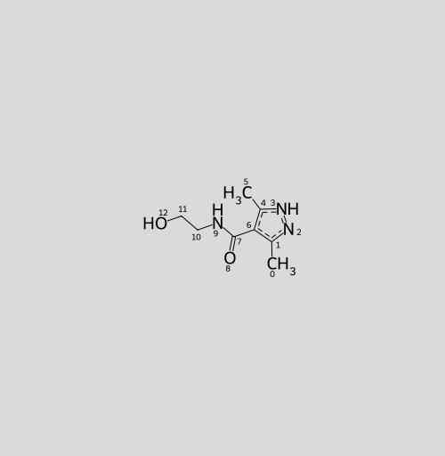 Cc1n[nH]c(C)c1C(=O)NCCO